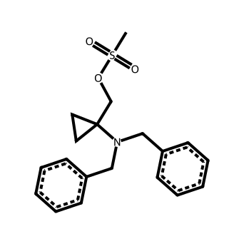 CS(=O)(=O)OCC1(N(Cc2ccccc2)Cc2ccccc2)CC1